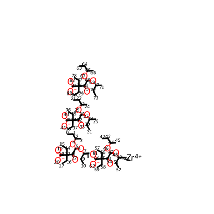 CCC(C)OC(OC(C)CC)C(=O)C(CC)(CC)C(=O)[O-].CCC(C)OC(OC(C)CC)C(=O)C(CC)(CC)C(=O)[O-].CCC(C)OC(OC(C)CC)C(=O)C(CC)(CC)C(=O)[O-].CCC(C)OC(OC(C)CC)C(=O)C(CC)(CC)C(=O)[O-].[Zr+4]